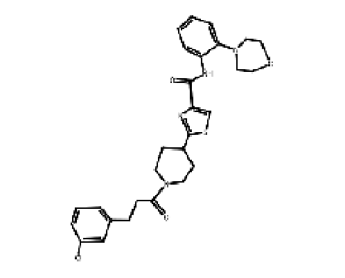 O=C(Nc1ccccc1N1CCOCC1)c1csc(C2CCN(C(=O)CCc3cccc(Cl)c3)CC2)n1